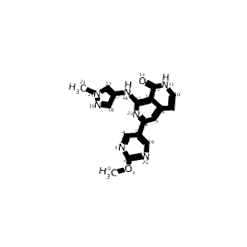 COc1ncc(-c2cc3cc[nH]c(=O)c3c(Nc3cnn(C)c3)n2)cn1